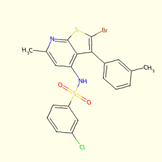 Cc1cccc(-c2c(Br)sc3nc(C)cc(NS(=O)(=O)c4cccc(Cl)c4)c23)c1